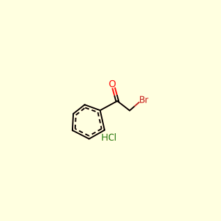 Cl.O=C(CBr)c1ccccc1